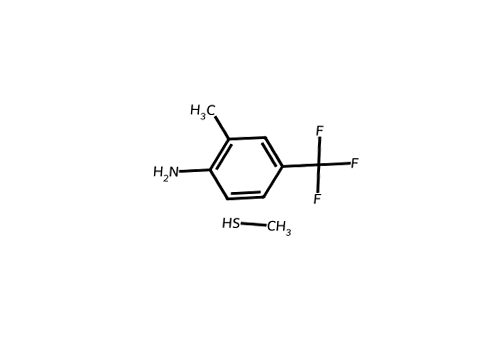 CS.Cc1cc(C(F)(F)F)ccc1N